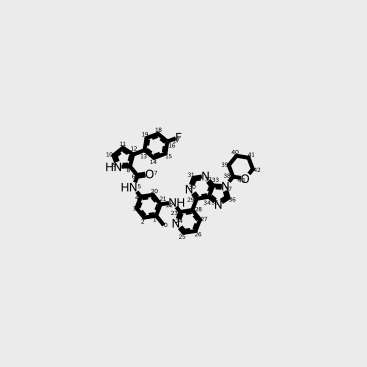 Cc1ccc(NC(=O)c2[nH]ccc2-c2ccc(F)cc2)cc1Nc1ncccc1-c1ncnc2c1ncn2C1CCCCO1